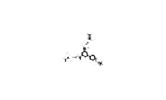 C=C(C)C(=O)OCCOC(=O)c1cc(C(=O)OCCOC(=O)C(=C)C)cc(-c2ccc(OC(=O)C(C)(C)C)cc2)c1